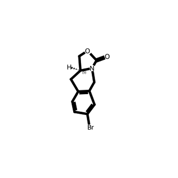 O=C1OC[C@@H]2Cc3ccc(Br)cc3CN12